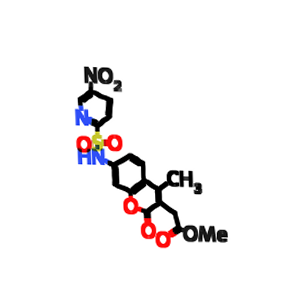 COC(=O)Cc1c(C)c2ccc(NS(=O)(=O)c3ccc([N+](=O)[O-])cn3)cc2oc1=O